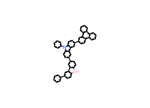 B1c2ccc(-c3ccccc3)cc2-c2cc(-c3ccc4c(c3)c3cc(-c5ccc6c7ccccc7c7ccccc7c6c5)ccc3n4-c3ccccc3)ccc21